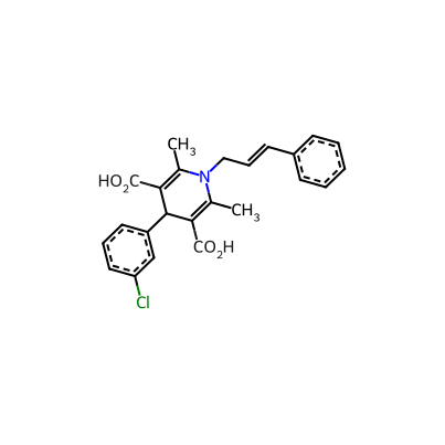 CC1=C(C(=O)O)C(c2cccc(Cl)c2)C(C(=O)O)=C(C)N1CC=Cc1ccccc1